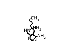 COCCC1(N)C=c2c(N)ncnc2=CN1